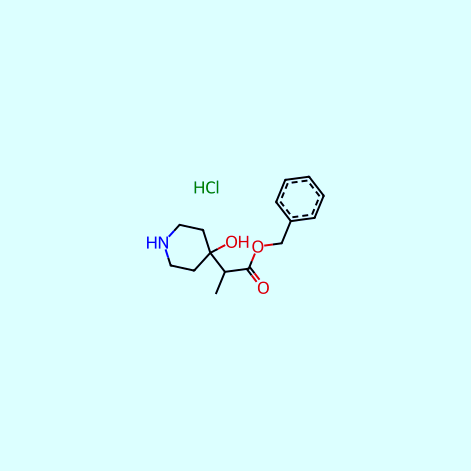 CC(C(=O)OCc1ccccc1)C1(O)CCNCC1.Cl